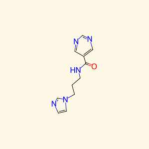 O=C(NCCCn1ccnc1)c1cncnc1